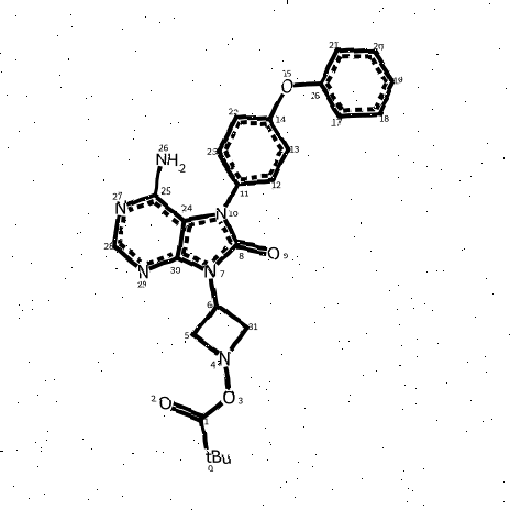 CC(C)(C)C(=O)ON1CC(n2c(=O)n(-c3ccc(Oc4ccccc4)cc3)c3c(N)ncnc32)C1